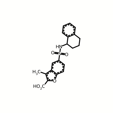 Cc1c(C(=O)O)oc2ccc(S(=O)(=O)NC3CCCc4ccccc43)cc12